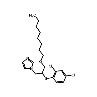 CCCCCCCCOCC(Cn1ccnc1)Sc1ccc(Cl)cc1Cl